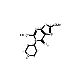 CCOC(=O)c1nc2sc(SC)nc2c(=O)n1C1CCOCC1